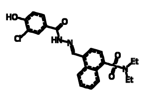 CCN(CC)S(=O)(=O)c1ccc(/C=N/NC(=O)c2ccc(O)c(Cl)c2)c2ccccc12